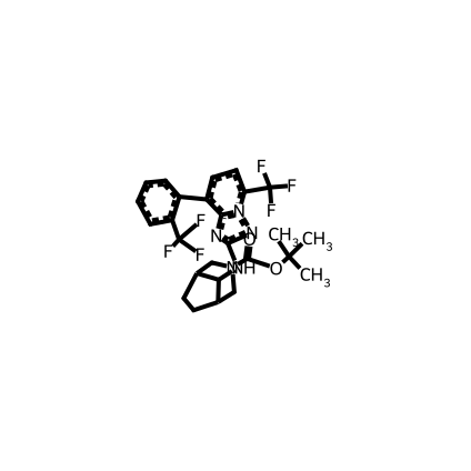 CC(C)(C)OC(=O)N1CC2CCC(C1)C2Nc1nc2c(-c3ccccc3C(F)(F)F)ccc(C(F)(F)F)n2n1